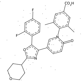 Cc1cc(C(=O)O)cc(C)c1-n1cc(-c2nc(C3CCOCC3)oc2-c2ccc(F)cc2F)ccc1=O